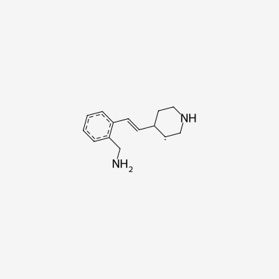 NCc1ccccc1C=CC1[CH]CNCC1